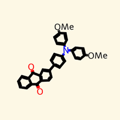 COc1ccc(N(c2ccc(OC)cc2)c2ccc(-c3ccc4c(c3)C(=O)c3ccccc3C4=O)cc2)cc1